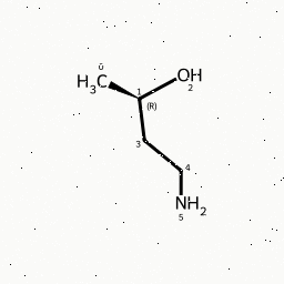 C[C@@H](O)CCN